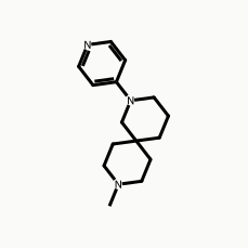 CN1CCC2(CCCN(c3ccncc3)C2)CC1